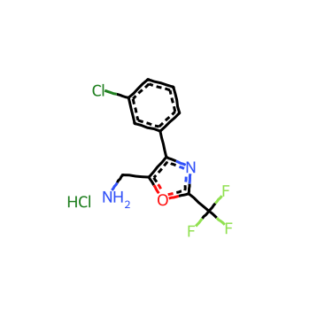 Cl.NCc1oc(C(F)(F)F)nc1-c1cccc(Cl)c1